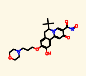 CC(C)(C)C1Cc2cc(OCCCN3CCOCC3)c(O)cc2-c2cc(=O)c(C(=O)N=O)cn21